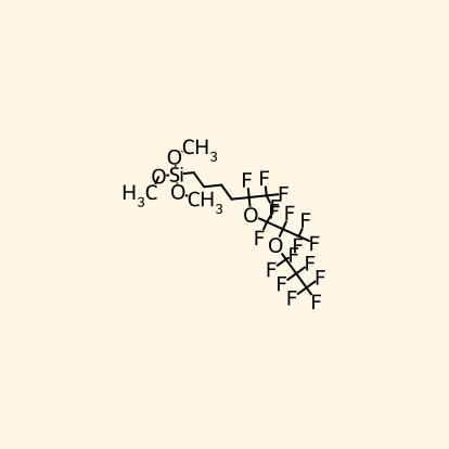 CO[Si](CCCCC(F)(OC(F)(F)C(F)(OC(F)(F)C(F)(F)C(F)(F)F)C(F)(F)F)C(F)(F)F)(OC)OC